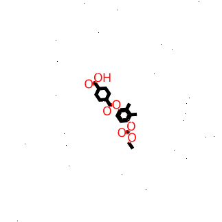 CCOC(=O)Oc1ccc(OC(=O)C2CCC(C(=O)O)CC2)c(C)c1C